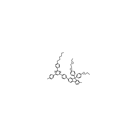 CCCCCCc1ccc(-c2nc(-c3ccc(C)cc3)cc(-c3ccc(-c4ccc5c(c4)C(c4ccc(OCCC)cc4)(c4ccc(OCCOCC)cc4)c4cc(C)ccc4-5)cc3)n2)cc1